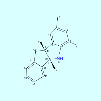 Cc1cc(C)c2c(c1)[C@@]1(C)Cc3ccccc3[C@@]1(C)N2